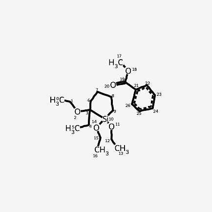 CCOC1(CC)CCCC[Si]1(OCC)OCC.COC(=O)c1ccccc1